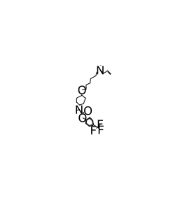 C=CCN(C)CCCCCCO[C@H]1CC[C@H](N(C)C(=O)Oc2ccc(C(F)(F)F)cc2)CC1